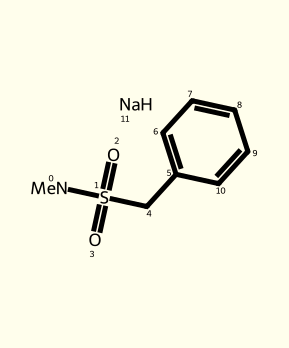 CNS(=O)(=O)Cc1ccccc1.[NaH]